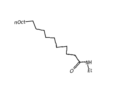 CCCCCCCCCCCCCCCCCC(=O)NCC